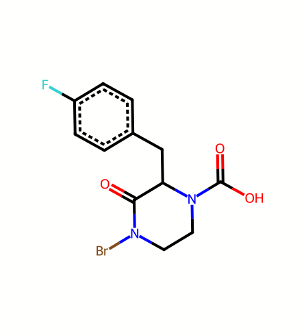 O=C1C(Cc2ccc(F)cc2)N(C(=O)O)CCN1Br